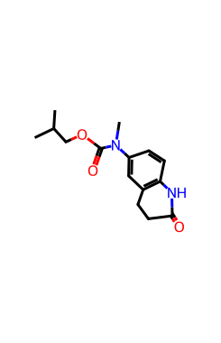 CC(C)COC(=O)N(C)c1ccc2c(c1)CCC(=O)N2